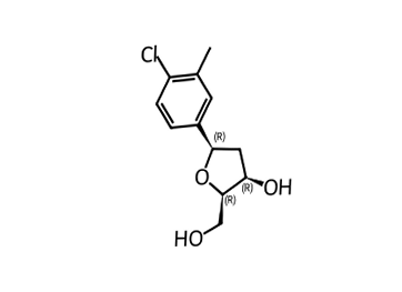 Cc1cc([C@H]2C[C@@H](O)[C@@H](CO)O2)ccc1Cl